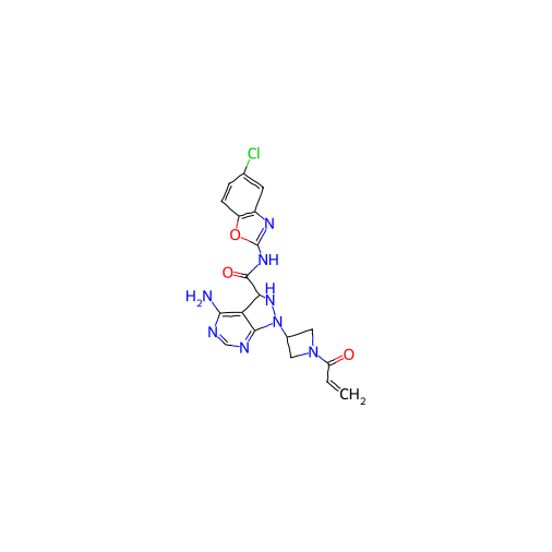 C=CC(=O)N1CC(N2NC(C(=O)Nc3nc4cc(Cl)ccc4o3)c3c(N)ncnc32)C1